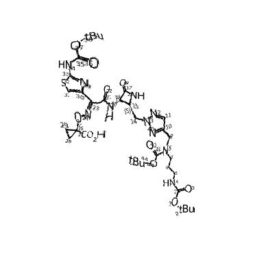 CC(C)(C)OC(=O)NCCCN(Cc1cnn(C[C@@H]2NC(=O)[C@H]2NC(=O)C(=NOC2(C(=O)O)CC2)c2csc(NC(=O)OC(C)(C)C)n2)n1)C(=O)OC(C)(C)C